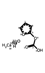 O.O=C(O)Oc1ccco1.[CaH2].[NaH]